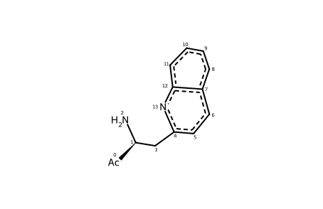 CC(=O)[C@@H](N)Cc1ccc2ccccc2n1